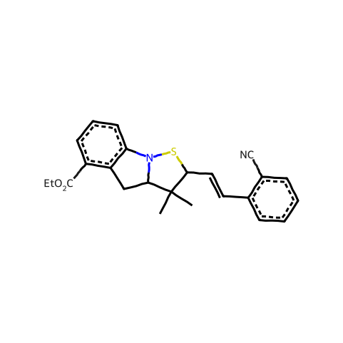 CCOC(=O)c1cccc2c1CC1N2SC(C=Cc2ccccc2C#N)C1(C)C